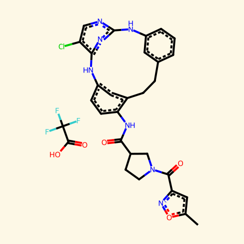 Cc1cc(C(=O)N2CCC(C(=O)Nc3ccc4cc3CCc3cccc(c3)Nc3ncc(Cl)c(n3)N4)C2)no1.O=C(O)C(F)(F)F